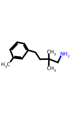 Cc1cccc(CCC(C)(C)CN)c1